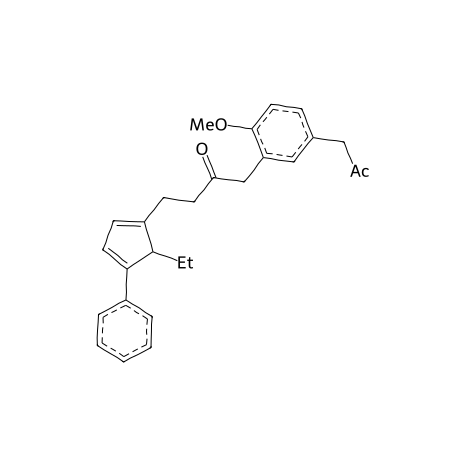 CCC1C(CCC(=O)Cc2cc(CC(C)=O)ccc2OC)=CC=C1c1ccccc1